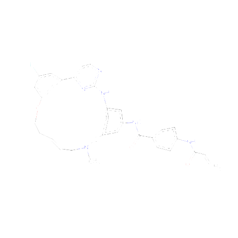 C=CC(=O)Nc1ccc(C(=O)Nc2cc3cc(c2)Nc2nccc(n2)-c2cc(F)cc(c2)OCC/C=C/CN(C)C3)cc1